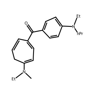 CCCN(CC)c1ccc(C(=O)C2=CC=C(N(C)CC)CC=C2)cc1